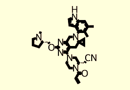 C=CC(=O)N1CCN(c2nc(OC[C@@H]3CCCN3C)nc3c2CC2(CC2)N(c2c(C)c(C)cc4[nH]ccc24)C3)C[C@@H]1CC#N